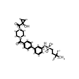 CC(F)(F)CCS(=O)(=O)Nc1cccc(-c2ccc(C(=O)N3CCN(C(=O)C4(O)CC4)CC3)cc2)c1